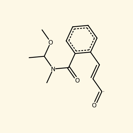 COC(C)N(C)C(=O)c1ccccc1/C=C/[C]=O